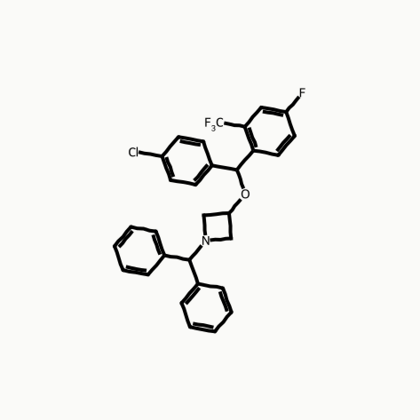 Fc1ccc(C(OC2CN(C(c3ccccc3)c3ccccc3)C2)c2ccc(Cl)cc2)c(C(F)(F)F)c1